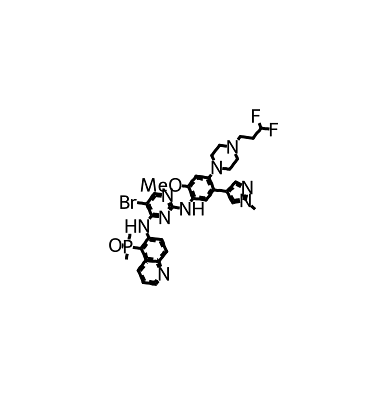 COc1cc(N2CCN(CCC(F)F)CC2)c(-c2cnn(C)c2)cc1Nc1ncc(Br)c(Nc2ccc3ncccc3c2P(C)(C)=O)n1